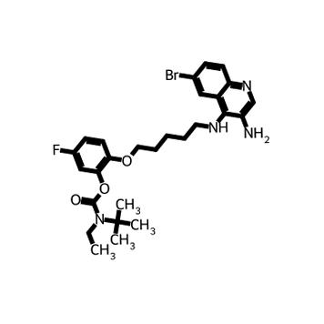 CCN(C(=O)Oc1cc(F)ccc1OCCCCCNc1c(N)cnc2ccc(Br)cc12)C(C)(C)C